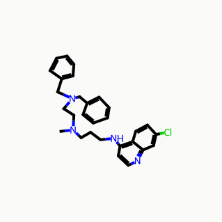 CN(CCCNc1ccnc2cc(Cl)ccc12)CCN(Cc1ccccc1)Cc1ccccc1